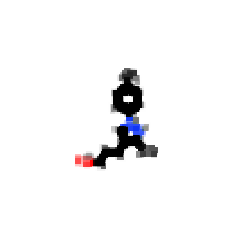 CCCc1nn(-c2ccc(C(F)(F)F)cc2)cc1CCCO